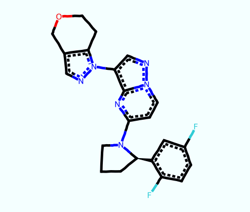 Fc1ccc(F)c([C@H]2CCCN2c2ccn3ncc(-n4ncc5c4CCOC5)c3n2)c1